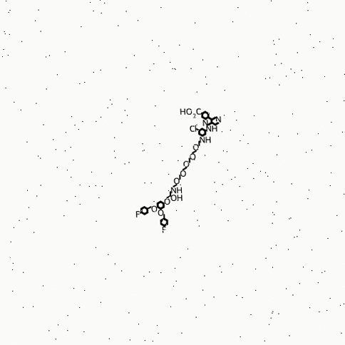 O=C(O)c1ccc2c(c1)nc(Nc1cc(Cl)cc(NCCOCCOCCOCCOCCOCCNC[C@@H](O)COc3ccc(OCc4ccc(F)cc4)c(OCc4ccc(F)cc4)c3)c1)c1ccncc12